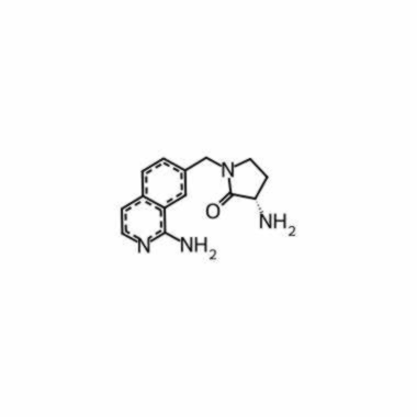 Nc1nccc2ccc(CN3CC[C@H](N)C3=O)cc12